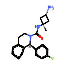 C[C@]1(NC(=O)N2CCc3ccccc3[C@@H]2c2ccc(F)cc2)C[C@H](N)C1